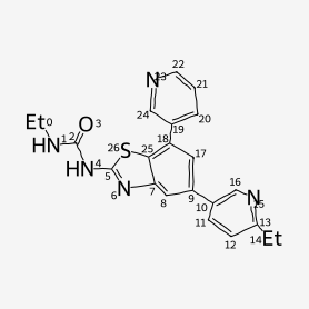 CCNC(=O)Nc1nc2cc(-c3ccc(CC)nc3)cc(-c3cccnc3)c2s1